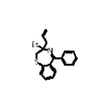 C=CCC1(CC)CSc2ccccc2C(c2ccccc2)=N1